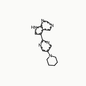 c1ncc2c(-c3ncc(N4CCCCC4)cn3)c[nH]c2n1